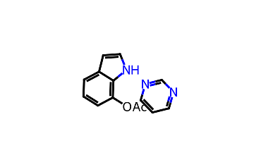 CC(=O)Oc1cccc2cc[nH]c12.c1cncnc1